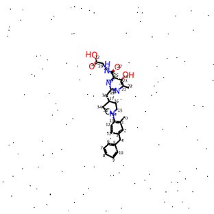 Cc1cc(Cc2ccccc2)ccc1N1CCC(Cc2nc(C)c(O)c(C(=O)NCC(=O)O)n2)CC1